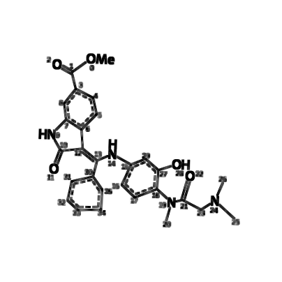 COC(=O)c1ccc2c(c1)NC(=O)C2=C(Nc1ccc(N(C)C(=O)CN(C)C)c(O)c1)c1ccccc1